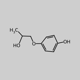 CC(O)COc1ccc(O)cc1